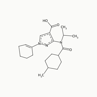 CC1CCC(C(=O)N(c2nn(C3=CCCCC3)cc2C(=O)O)C(C)C)CC1